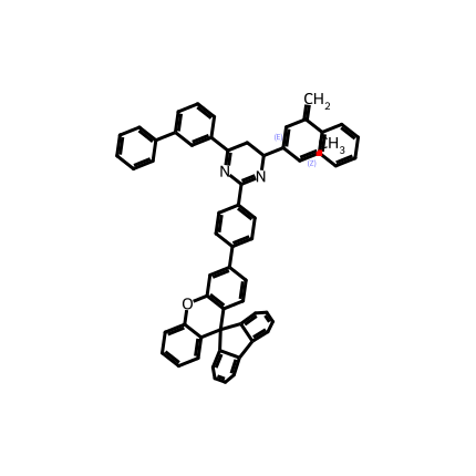 C=C(/C=C(\C=C/C)C1CC(c2cccc(-c3ccccc3)c2)=NC(c2ccc(-c3ccc4c(c3)Oc3ccccc3C43c4ccccc4-c4ccccc43)cc2)=N1)c1ccccc1